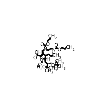 C=CCOC(=O)NCCN(CC1=C(C(=O)O)N2C(=O)[C@@H]([C@@H](CO[SiH](C)C)C(C)(C)C)[C@H]2C1CC=C)C(=O)OCC=C